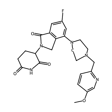 COc1ccc(CN2CCN(c3cc(F)cc4c3CN(C3CCC(=O)NC3=O)C4=O)CC2)nc1